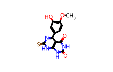 COc1ccc(-c2nc(=S)[nH]c3[nH]c(=O)[nH]c(=O)c23)cc1O